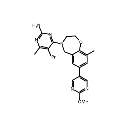 COc1ncc(-c2cc(C)c3c(c2)CN(c2nc(N)nc(C)c2C(C)C)CCO3)cn1